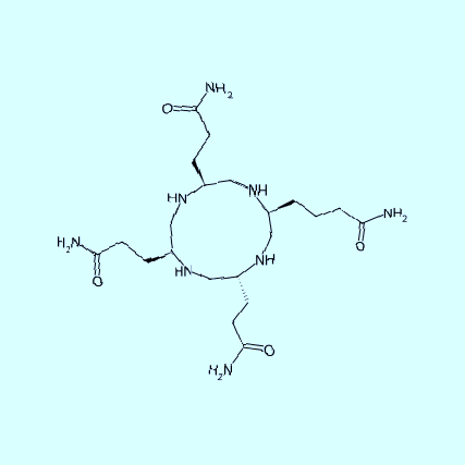 NC(=O)CCC[C@H]1CN[C@H](CCC(N)=O)CN[C@@H](CCC(N)=O)CN[C@@H](CCC(N)=O)CN1